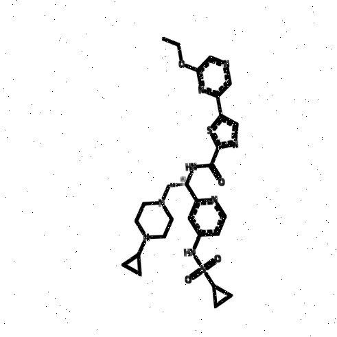 CCOc1cncc(-c2cnc(C(=O)N[C@@H](CN3CCN(C4CC4)CC3)c3cc(NS(=O)(=O)C4CC4)ccn3)s2)n1